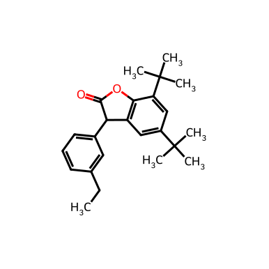 CCc1cccc(C2C(=O)Oc3c2cc(C(C)(C)C)cc3C(C)(C)C)c1